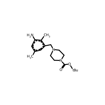 Cc1cc(N)c(C)c(CN2CCN(C(=O)OC(C)(C)C)CC2)c1